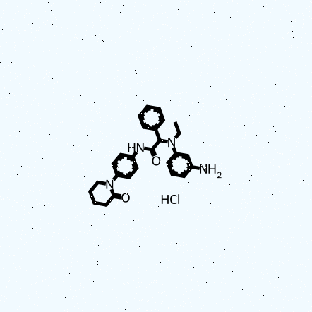 CCN(c1cccc(N)c1)C(C(=O)Nc1ccc(N2CCCCC2=O)cc1)c1ccccc1.Cl